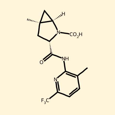 Cc1ccc(C(F)(F)F)nc1NC(=O)[C@@H]1C[C@@]2(C)C[C@H]2N1C(=O)O